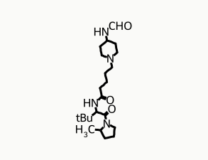 CC1CCCN1C(=O)C(NC(=O)CCCCN1CCC(NC=O)CC1)C(C)(C)C